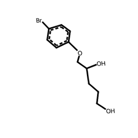 OCCCC(O)COc1ccc(Br)cc1